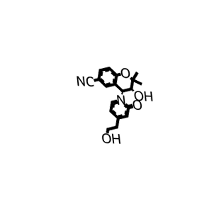 CC1(C)Oc2ccc(C#N)cc2[C@@H](n2ccc(CCO)cc2=O)[C@@H]1O